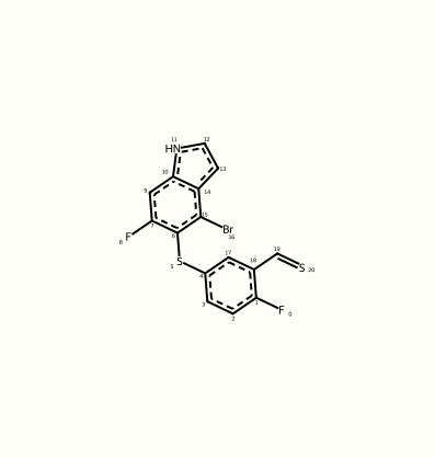 Fc1ccc(Sc2c(F)cc3[nH]ccc3c2Br)cc1C=S